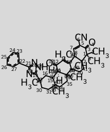 CC1(C)C(=O)C(C#N)=C[C@]2(C)C3=CC(=O)[C@@H]4[C@@H]5C[C@@](C)(c6nc(-c7ccccc7)n[nH]6)CC[C@]5(C)CC[C@@]4(C)[C@]3(C)CCC12